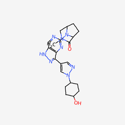 CN1CC2CCC(C1=O)N2c1ncc2[nH]nc(-c3cnn(C4CCC(O)CC4)c3)c2n1